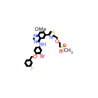 COc1cc2ncnc(Nc3ccc(OCc4cccc(F)c4)c(Br)c3)c2cc1-c1csc(COCCS(C)(=O)=O)n1